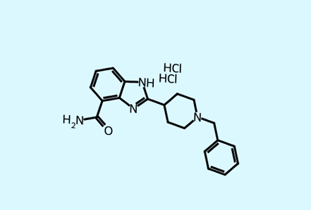 Cl.Cl.NC(=O)c1cccc2[nH]c(C3CCN(Cc4ccccc4)CC3)nc12